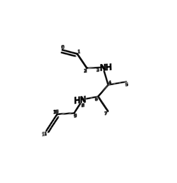 C=CCNC(C)C(C)NCC=C